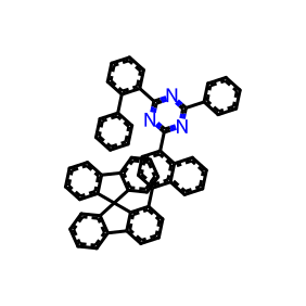 c1ccc(-c2nc(-c3ccccc3-c3ccccc3)nc(-c3ccc(-c4cccc5c4C4(c6ccccc6-c6ccccc64)c4ccccc4-5)c4ccccc34)n2)cc1